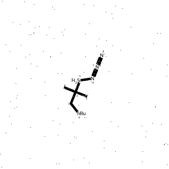 CCCCCC(C)(C)[SiH2]N=[N+]=[N-]